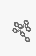 c1ccc(-c2ccc(N(c3ccccc3)c3cc(-n4c5ccccc5c5ccccc54)cc4ccccc34)cc2)cc1